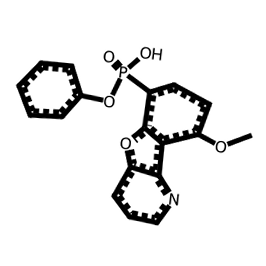 COc1ccc(P(=O)(O)Oc2ccccc2)c2oc3cccnc3c12